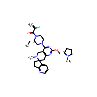 C=C(F)C(=O)N1CCN(c2nc(OC[C@@H]3CCCN3C)nc3c2CN(C)C2(CCc4ncccc42)C3)C[C@@H]1CC#N